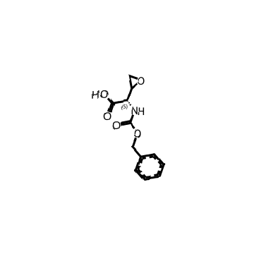 O=C(N[C@H](C(=O)O)C1CO1)OCc1ccccc1